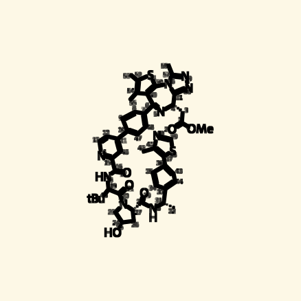 COC(=O)C[C@@H]1N=C(c2ccc(-c3ccnc(C(=O)NC(C(=O)N4C[C@H](O)C[C@H]4C(=O)N[C@@H](C)c4ccc(-c5scnc5C)cc4)C(C)(C)C)c3)cc2)c2c(sc(C)c2C)-n2c(C)nnc21